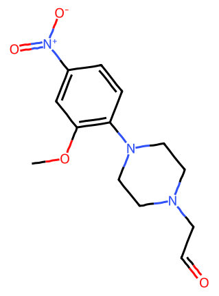 COc1cc([N+](=O)[O-])ccc1N1CCN(CC=O)CC1